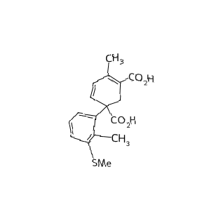 CSc1cccc(C2(C(=O)O)C=CC(C)=C(C(=O)O)C2)c1C